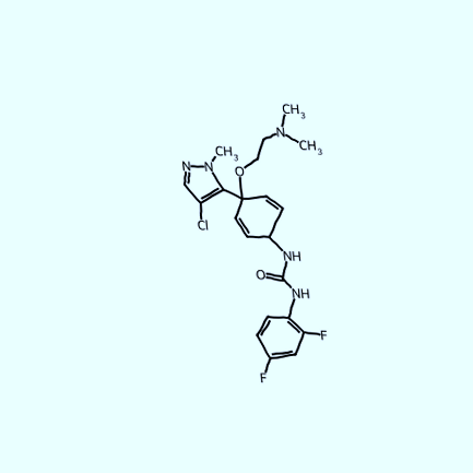 CN(C)CCOC1(c2c(Cl)cnn2C)C=CC(NC(=O)Nc2ccc(F)cc2F)C=C1